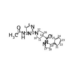 CC(=O)Nc1ccnc(N2CCC(C(=O)N3N=CCC3c3ccccc3)CC2)n1